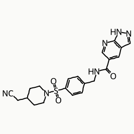 N#CCC1CCN(S(=O)(=O)c2ccc(CNC(=O)c3cnc4[nH]ncc4c3)cc2)CC1